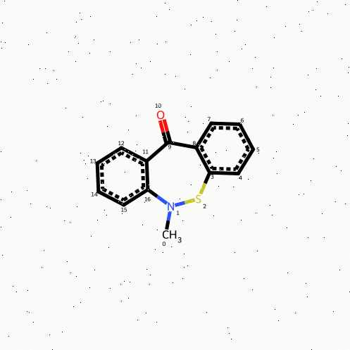 CN1Sc2ccccc2C(=O)c2ccccc21